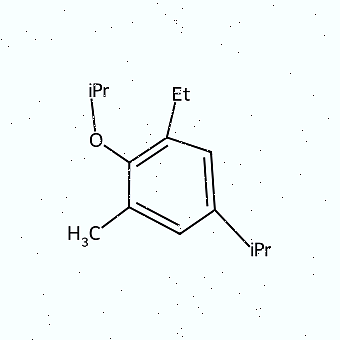 CCc1cc(C(C)C)cc(C)c1OC(C)C